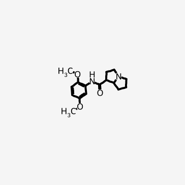 COc1ccc(OC)c(NC(=O)C2CCN3CCCC23)c1